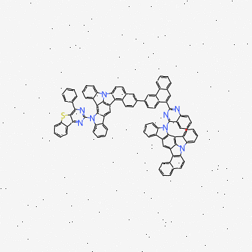 c1ccc(-c2nc(-n3c4ccccc4c4cc5c6c7ccc(-c8ccc9c(-c%10nc(-n%11c%12ccccc%12c%12cc%13c%14c%15ccccc%15ccc%14n%14c%15ccccc%15c(c%12%11)c%13%14)c%11ccccc%11n%10)cc%10ccccc%10c9c8)cc7ccc6n6c7ccccc7c(c43)c56)nc3c2sc2ccccc23)cc1